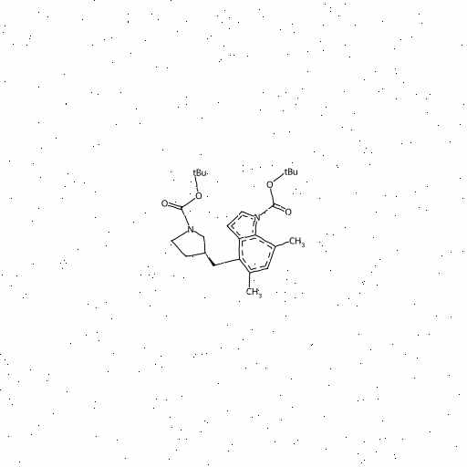 Cc1cc(C)c2c(ccn2C(=O)OC(C)(C)C)c1C[C@H]1CCN(C(=O)OC(C)(C)C)C1